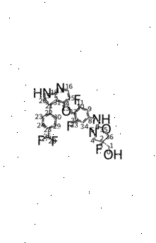 OCC1(F)CN=C(Nc2cc(F)c(Oc3ccnc4[nH]cc(-c5ccc(C(F)F)cc5)c34)c(F)c2)OC1